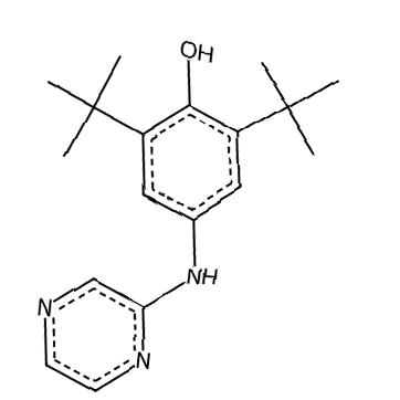 CC(C)(C)c1cc(Nc2cnccn2)cc(C(C)(C)C)c1O